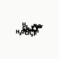 CC(C)(C)/N=C/c1cnc(Br)cc1I